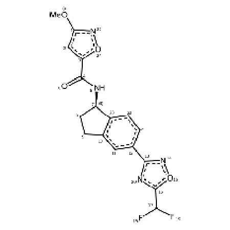 COc1cc(C(=O)N[C@@H]2CCc3cc(-c4noc(C(F)F)n4)ccc32)on1